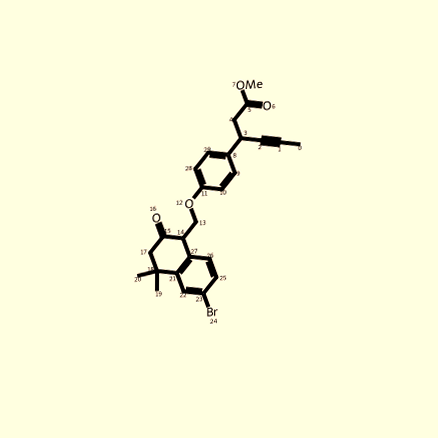 CC#CC(CC(=O)OC)c1ccc(OCC2C(=O)CC(C)(C)c3cc(Br)ccc32)cc1